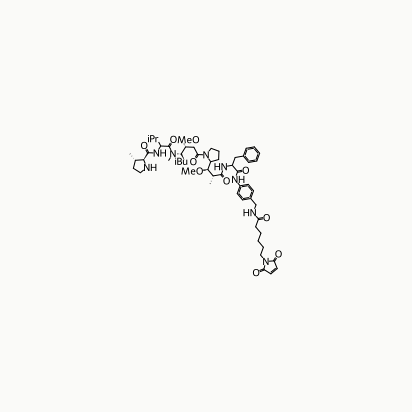 CC[C@H](C)[C@@H]([C@@H](CC(=O)N1CCCC1[C@H](OC)[C@@H](C)C(=O)NC(Cc1ccccc1)C(=O)Nc1ccc(CNC(=O)CCCCCN2C(=O)C=CC2=O)cc1)OC)N(C)C(=O)C(NC(=O)[C@H]1NCC[C@@H]1C)C(C)C